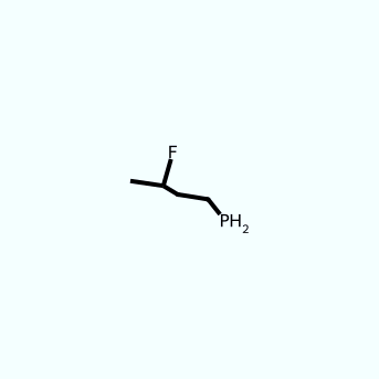 CC(F)CCP